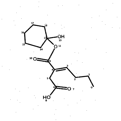 CCCC=C(CC(=O)O)C(=O)OC1(O)CCCCC1